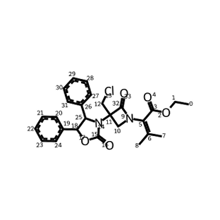 CCOC(=O)C(=C(C)C)N1CC(CCl)(N2C(=O)OC(c3ccccc3)C2c2ccccc2)C1=O